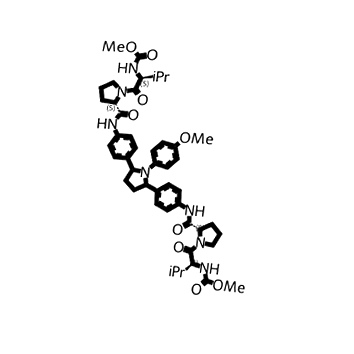 COC(=O)N[C@H](C(=O)N1CCC[C@H]1C(=O)Nc1ccc(C2CCC(c3ccc(NC(=O)[C@@H]4CCCN4C(=O)[C@@H](NC(=O)OC)C(C)C)cc3)N2c2ccc(OC)cc2)cc1)C(C)C